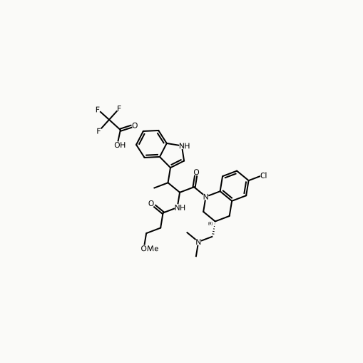 COCCC(=O)NC(C(=O)N1C[C@@H](CN(C)C)Cc2cc(Cl)ccc21)C(C)c1c[nH]c2ccccc12.O=C(O)C(F)(F)F